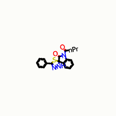 CCCC(=O)N1C(=O)C2(NN=C(c3ccccc3)S2)c2ccccc21